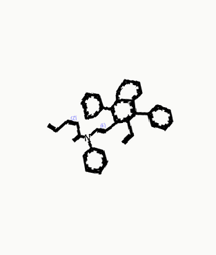 C=C/C=C\C(=C)N(/C=C/c1c(C=C)c(-c2ccccc2)c2ccccc2c1-c1ccccc1)c1ccccc1